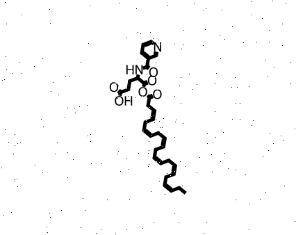 CC/C=C\C/C=C\C/C=C\C/C=C\C/C=C\C/C=C\CC(=O)OC(=O)C(CCC(=O)O)NC(=O)c1cccnc1